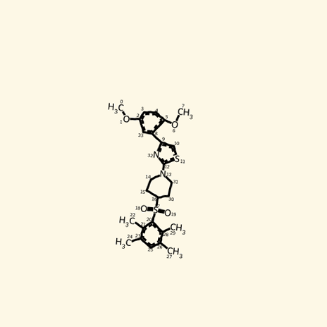 COc1ccc(OC)c(-c2csc(N3CCC(S(=O)(=O)c4c(C)c(C)cc(C)c4C)CC3)n2)c1